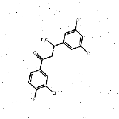 O=C(C[C](c1cc(Cl)cc(Cl)c1)C(F)(F)F)c1ccc(F)c(Cl)c1